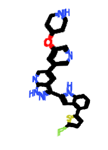 Fc1ccc(-c2cccc3[nH]c(-c4n[nH]c5ncc(-c6cncc(OC7CCNCC7)c6)cc45)cc23)s1